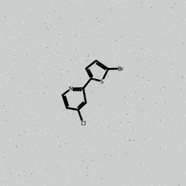 Clc1ccnc(-c2ccc(Br)s2)c1